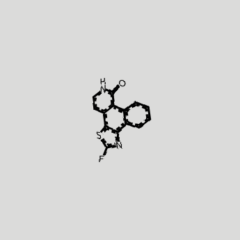 O=c1[nH]ccc2c3sc(F)nc3c3ccccc3c12